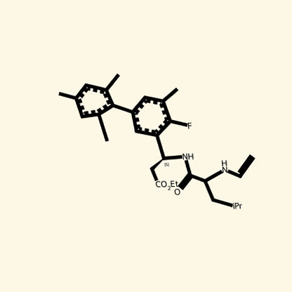 C=CNC(CC(C)C)C(=O)N[C@@H](CC(=O)OCC)c1cc(-c2c(C)cc(C)cc2C)cc(C)c1F